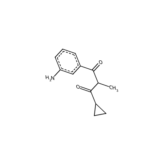 CC(C(=O)c1cccc(N)c1)C(=O)C1CC1